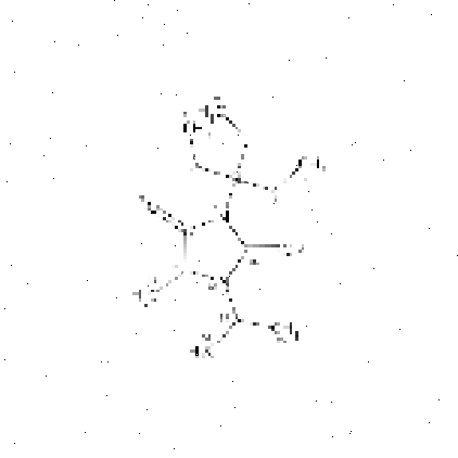 CC[Si](CC)(CC)N1C(=O)C(C)N(C(C)C)C1=O